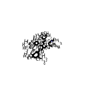 C/C=C/C(C)(C)CC(CC(C)(C)C)OC(=O)CC(C(=O)OC1CC(C)(C)C=C(CC)C(C)(C)C1)C(CC(=O)OC1CC(C)(C)N(C)C(C)(C)C1)C(=O)OC1CC(C)(C)C(C)C(C)(C)C1